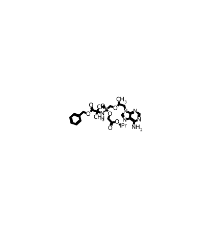 CC(C)OC(=O)COP(=O)(COC(C)Cn1cnc2c(N)ncnc21)NC(C)(C)C(=O)OCc1ccccc1